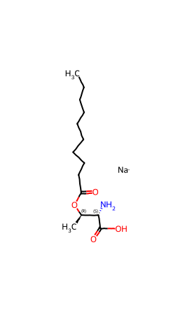 CCCCCCCCCC(=O)O[C@H](C)[C@H](N)C(=O)O.[Na]